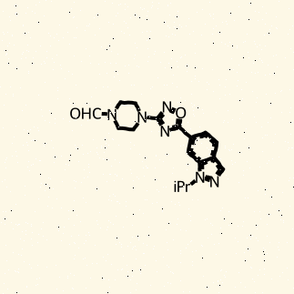 CC(C)n1ncc2ccc(-c3nc(N4CCN(C=O)CC4)no3)cc21